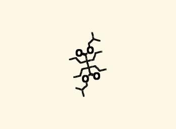 CCCC(CCC)(C(=O)OCC(C)C)C(CCC)(CCC)C(=O)OCC(C)C